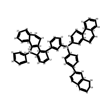 C1=Cc2ccc(-c3ccc(N(c4cccc(-c5cccc6c5c5ccc7ccccc7c5n6-c5ccccc5)c4)c4ccc5c(ccc6ccccc65)c4)cc3)cc2CC1